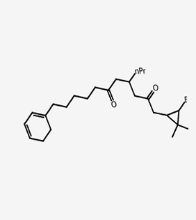 CCCC(CC(=O)CCCCCC1=CC=CCC1)CC(=O)CC1C(CC)C1(C)C